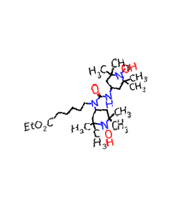 CCOC(=O)CCCCCN(C(=O)NC1CC(C)(C)N(O)C(C)(C)C1)C1CC(C)(C)N(O)C(C)(C)C1